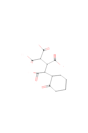 O=C1CCCCC1C(C(=O)O)C(C(=O)O)C(C(=O)O)C(=O)O